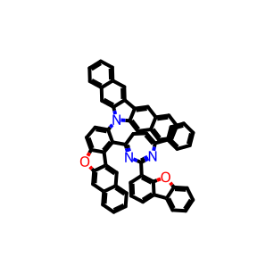 C1=C(c2ccccc2)N=C(c2cccc3c2oc2ccccc23)N=C(c2c(-n3c4cc5ccccc5cc4c4cc5ccccc5cc43)ccc3oc4cc5ccccc5cc4c23)C1